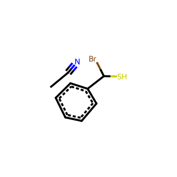 CC#N.SC(Br)c1ccccc1